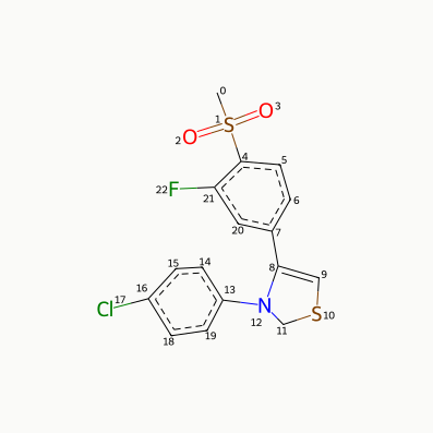 CS(=O)(=O)c1ccc(C2=CSCN2c2ccc(Cl)cc2)cc1F